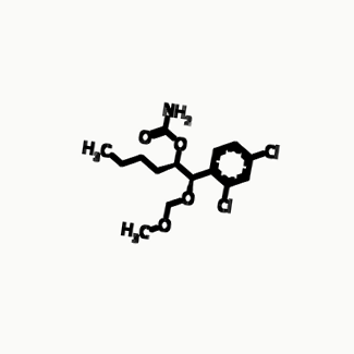 CCCC[C@@H](OC(N)=O)[C@H](OCOC)c1ccc(Cl)cc1Cl